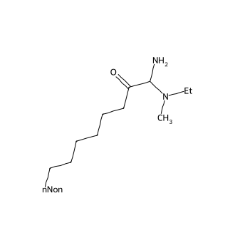 CCCCCCCCCCCCCCCC(=O)C(N)N(C)CC